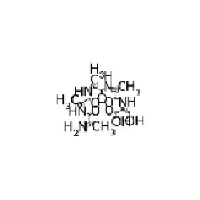 C[C@H](N)C(=O)N[C@@H](C)C(=O)N[C@@H](C)C(=O)N[C@@H](C)C(=O)N[C@@H](CO)C(=O)O